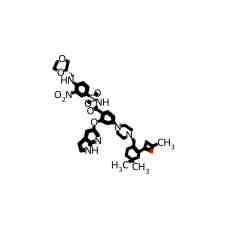 CC1(C)CCC(CN2CCN(c3ccc(C(=O)NS(=O)(=O)c4ccc(NC[C@H]5COCCO5)c([N+](=O)[O-])c4)c(Oc4cnc5[nH]ccc5c4)c3)CC2)=C(C23CC(C)(C2)C3)C1